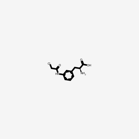 N[C@@H](Cc1cccc(NC(=O)CCl)c1)C(=O)O